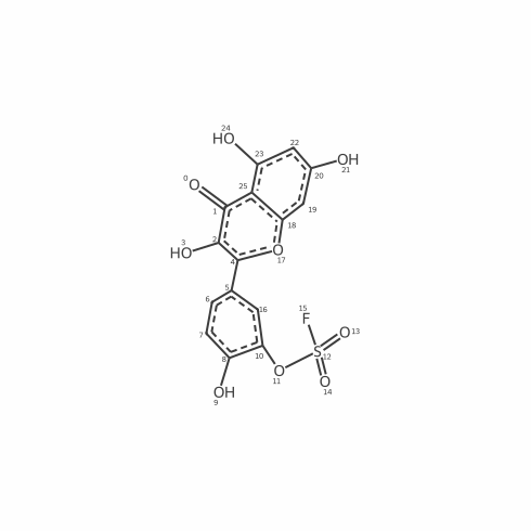 O=c1c(O)c(-c2ccc(O)c(OS(=O)(=O)F)c2)oc2cc(O)cc(O)c12